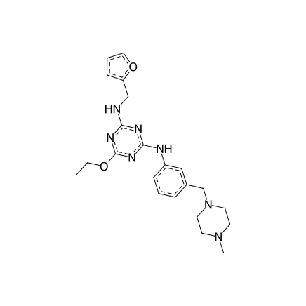 CCOc1nc(NCc2ccco2)nc(Nc2cccc(CN3CCN(C)CC3)c2)n1